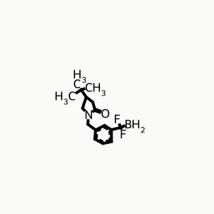 BC(F)(F)c1cccc(CN2CC(C(C)(C)C)CC2=O)c1